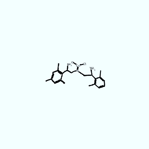 Cc1cc(C)c(C(N)C[N](CC(N)c2c(C)cccc2C)[Co]([Cl])[Cl])c(C)c1